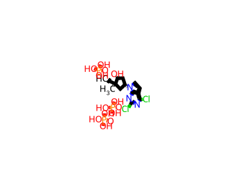 C#C[C@]1(C)C[C@@H](n2ccc3c(Cl)nc(Cl)nc32)C[C@@H]1O.O=P(O)(O)O.O=P(O)(O)O.O=P(O)(O)O